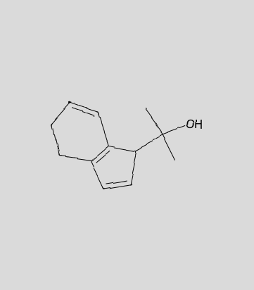 CC(C)(O)C1C=CC2=C1C=CCC2